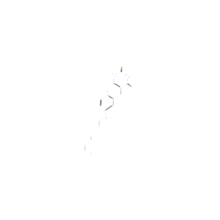 CCCCOCCc1ccc2c(c1)Cc1c([nH]c(=S)[nH]c1=O)O2